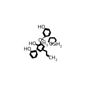 C1CC[SiH2]OC1.C=CCc1ccc(O)c(OC)c1.Oc1ccccc1.Oc1ccccc1